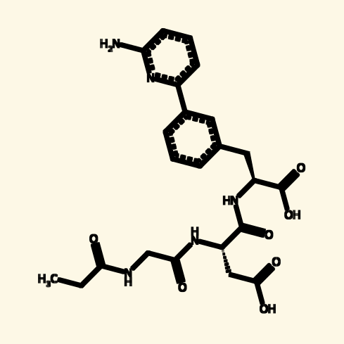 CCC(=O)NCC(=O)N[C@@H](CC(=O)O)C(=O)N[C@@H](Cc1cccc(-c2cccc(N)n2)c1)C(=O)O